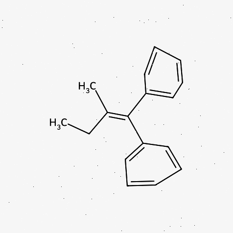 CCC(C)=C(c1ccccc1)c1ccccc1